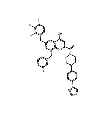 O=C(/C=C(/O)c1cc(Cc2ccc(F)c(F)c2F)cn(Cc2cccc(F)c2)c1=O)C(=O)N1CCN(c2ccc(-n3cncn3)cc2)CC1